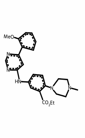 CCOC(=O)c1cc(Nc2cc(-c3ccccc3OC)ncn2)ccc1N1CCN(C)CC1